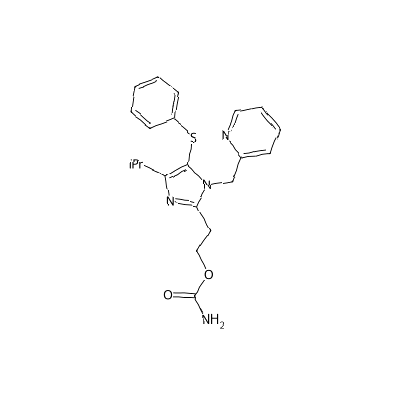 CC(C)c1nc(CCOC(N)=O)n(Cc2ccccn2)c1Sc1ccccc1